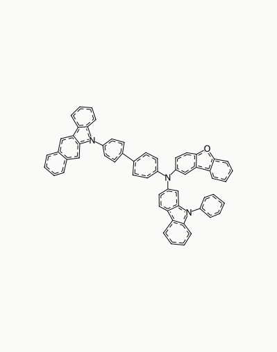 c1ccc(-n2c3ccccc3c3ccc(N(c4ccc(-c5ccc(-n6c7ccccc7c7cc8ccccc8cc76)cc5)cc4)c4ccc5oc6ccccc6c5c4)cc32)cc1